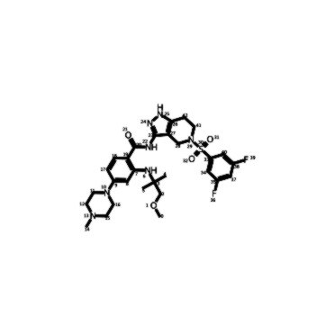 COCC(C)(C)Nc1cc(N2CCN(C)CC2)ccc1C(=O)Nc1n[nH]c2c1CN(S(=O)(=O)c1cc(F)cc(F)c1)CC2